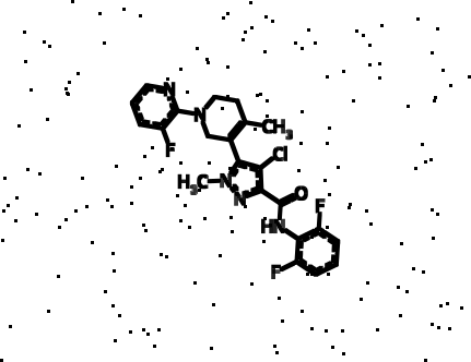 CC1=C(c2c(Cl)c(C(=O)Nc3c(F)cccc3F)nn2C)CN(c2ncccc2F)CC1